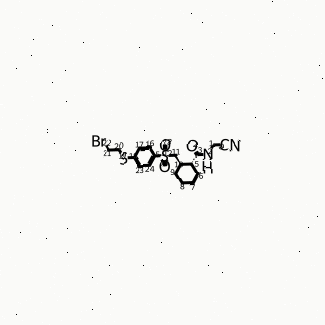 N#CCNC(=O)[C@@H]1CCCC[C@H]1CS(=O)(=O)c1ccc(SCCBr)cc1